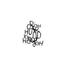 O=C(O)CC(O)(CC(=O)OC(=O)C(O)C(O)C(=O)[O-])C(=O)O.[K+]